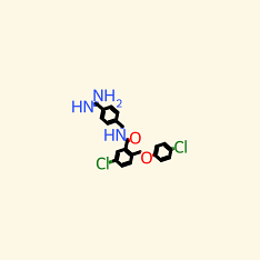 N=C(N)c1ccc(CNC(=O)c2cc(Cl)ccc2COc2ccc(Cl)cc2)cc1